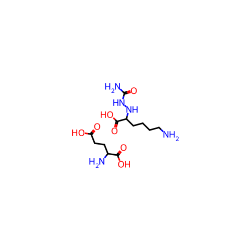 NC(CCC(=O)O)C(=O)O.NCCCCC(NNC(N)=O)C(=O)O